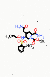 C=CCON(C1CN(C(=O)OC(C)(C)C)C(C(N)=O)C=C1CC(N)=O)S(=O)(=O)c1ccccc1[N+](=O)[O-]